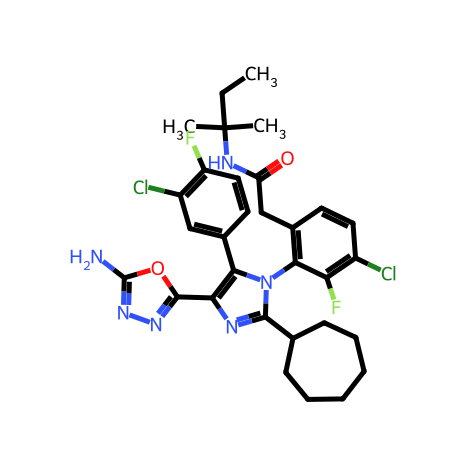 CCC(C)(C)NC(=O)Cc1ccc(Cl)c(F)c1-n1c(C2CCCCCC2)nc(-c2nnc(N)o2)c1-c1ccc(F)c(Cl)c1